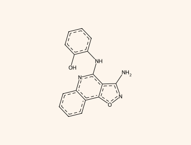 Nc1noc2c1c(Nc1ccccc1O)nc1ccccc12